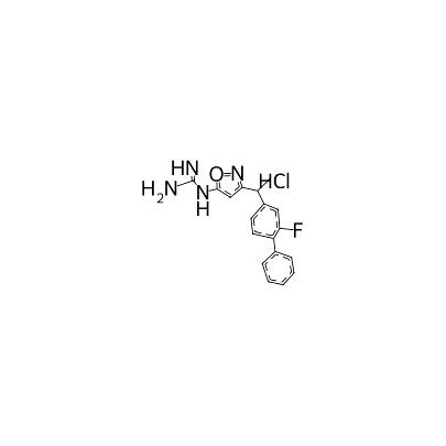 CC(c1ccc(-c2ccccc2)c(F)c1)c1cc(NC(=N)N)on1.Cl